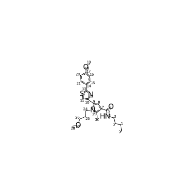 CCCCNC(=O)c1cc(-c2csc(-c3ccc(OC)cc3)n2)n(CCCOC)c1C